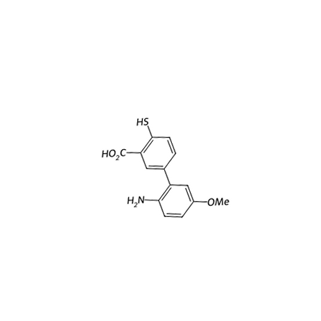 COc1ccc(N)c(-c2ccc(S)c(C(=O)O)c2)c1